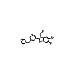 FCn1c(-c2cncc(Cn3ccnc3)c2)nc2cc(F)c(Br)cc21